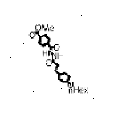 CCCCCCOc1ccc(CCC(=O)NNC(=O)c2ccc(C(=O)OC)cc2)cc1